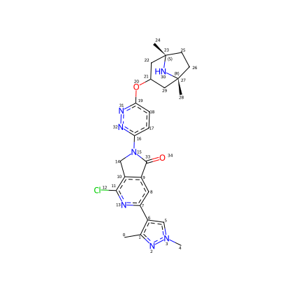 Cc1nn(C)cc1-c1cc2c(c(Cl)n1)CN(c1ccc(OC3C[C@]4(C)CC[C@](C)(C3)N4)nn1)C2=O